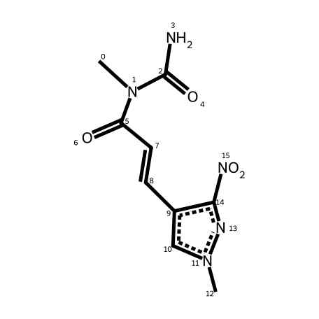 CN(C(N)=O)C(=O)C=Cc1cn(C)nc1[N+](=O)[O-]